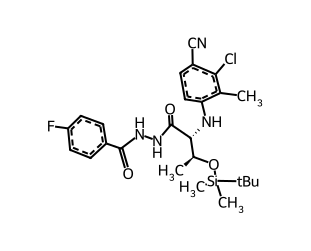 Cc1c(N[C@@H](C(=O)NNC(=O)c2ccc(F)cc2)[C@H](C)O[Si](C)(C)C(C)(C)C)ccc(C#N)c1Cl